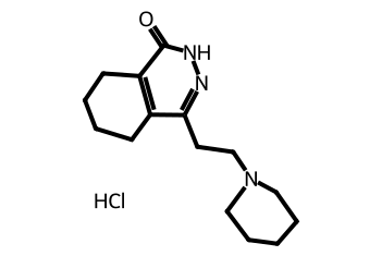 Cl.O=c1[nH]nc(CCN2CCCCC2)c2c1CCCC2